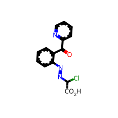 O=C(c1ccccn1)c1ccccc1N=NC(Cl)C(=O)O